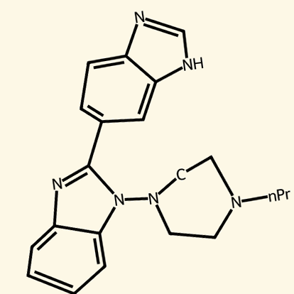 CCCN1CCN(n2c(-c3ccc4nc[nH]c4c3)nc3ccccc32)CC1